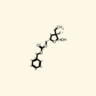 CC[C@@]1(F)C[C@@H](COC(=O)OCc2ccccc2)O[C@H]1O